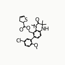 COc1ccc(Cl)cc1-c1ccc2c(c1COC(=O)C1CC=CS1)N(C)C(=O)C(C)(C)N2